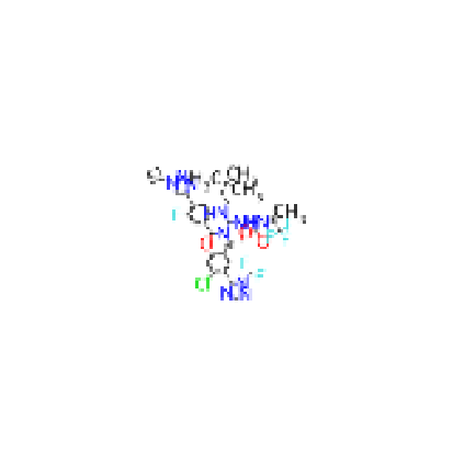 C[C@H](NC(=O)OC[C@H](c1ccc(Cl)c(-c2ncnn2C(F)F)c1)N(C(=N)NCCC(C)(C)C)C(=O)c1ccc(-c2cn(C34CC(C3)C4)nn2)c(F)c1)C(F)(F)F